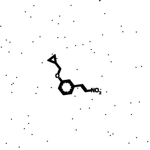 O=[N+]([O-])C=Cc1cccc(OCC2CC2)c1